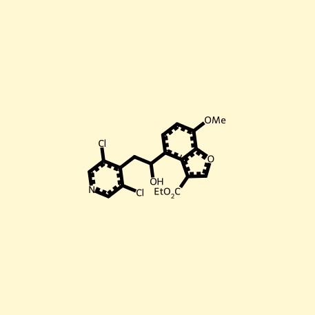 CCOC(=O)c1coc2c(OC)ccc(C(O)Cc3c(Cl)cncc3Cl)c12